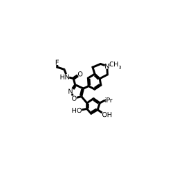 CC(C)c1cc(-c2onc(C(=O)NCCF)c2-c2ccc3c(c2)CCN(C)C3)c(O)cc1O